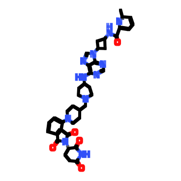 Cc1cccc(C(=O)NC2CC(n3cnc4c(NC5CCN(CC6CCN(c7cccc8c7C(=O)N([C@H]7CCC(=O)NC7=O)C8=O)CC6)CC5)ncnc43)C2)n1